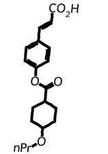 CCCOC1CCC(C(=O)Oc2ccc(C=CC(=O)O)cc2)CC1